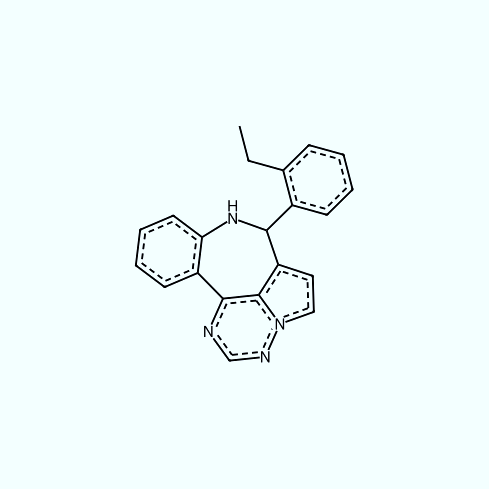 CCc1ccccc1C1Nc2ccccc2-c2ncnn3ccc1c23